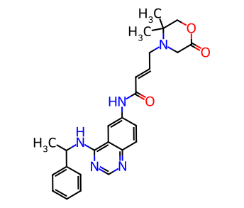 CC(Nc1ncnc2ccc(NC(=O)C=CCN3CC(=O)OCC3(C)C)cc12)c1ccccc1